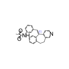 CS(=O)(=O)Nc1cccc(/C=C2\c3ccccc3CCc3cnccc32)c1